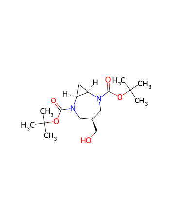 CC(C)(C)OC(=O)N1C[C@@H](CO)CN(C(=O)OC(C)(C)C)[C@H]2C[C@H]21